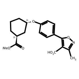 COC(=O)[C@H]1CCC[C@H](Oc2ccc(-c3onc(C)c3C(=O)O)cc2)C1